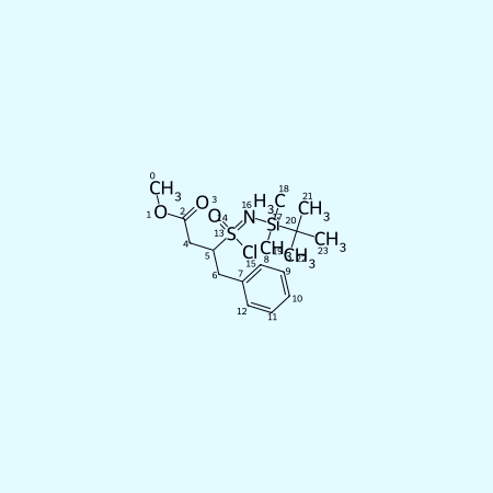 COC(=O)CC(Cc1ccccc1)S(=O)(Cl)=N[Si](C)(C)C(C)(C)C